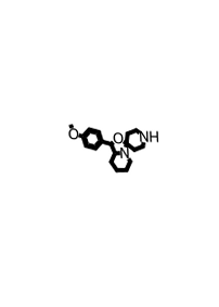 COc1ccc(C2OC3(CCNCC3)N3CCCCC23)cc1